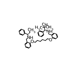 CC[C@@H](NCc1ccccc1OCCCCCCOc1ccccc1CN[C@@H](c1ccccc1)C(C)(C)C)c1ccccc1